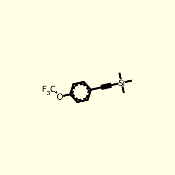 C[Si](C)(C)C#Cc1ccc(OC(F)(F)F)cc1